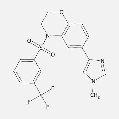 Cn1cnc(-c2ccc3c(c2)N(S(=O)(=O)c2cccc(C(F)(F)F)c2)CCO3)c1